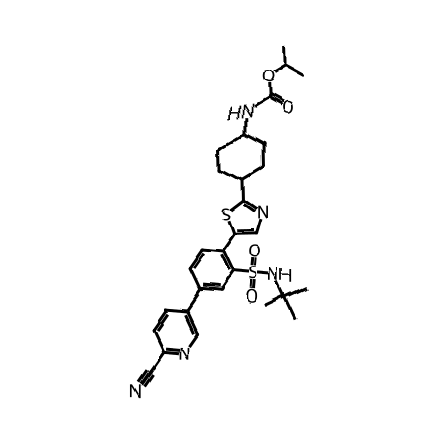 CC(C)OC(=O)NC1CCC(c2ncc(-c3ccc(-c4ccc(C#N)nc4)cc3S(=O)(=O)NC(C)(C)C)s2)CC1